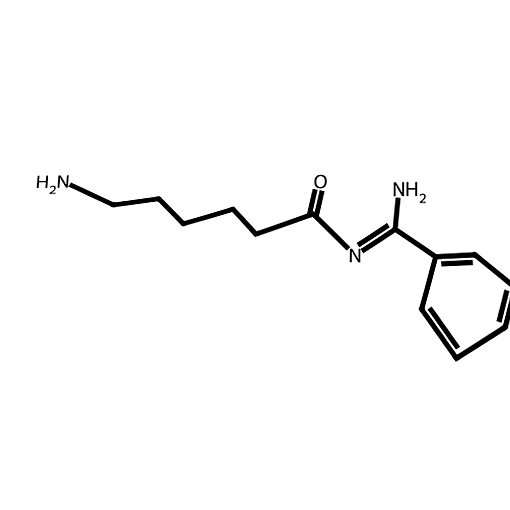 NCCCCCC(=O)N=C(N)c1ccccc1